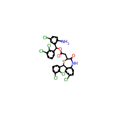 Nc1ccc(Cl)cc1C(OC(=O)CC1SC(c2cccc(Cl)c2Cl)c2cc(Cl)ccc2NC1=O)c1cccc(Cl)c1Cl